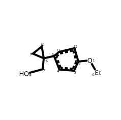 CCOc1ccc(C2(CO)CC2)cc1